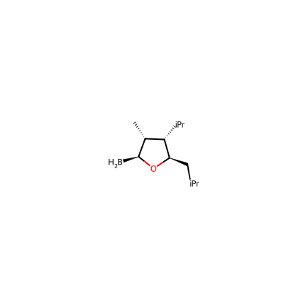 B[C@@H]1O[C@H](CC(C)C)[C@@H](C(C)C)[C@H]1C